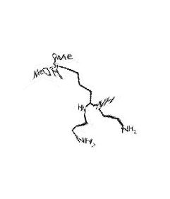 CO[SiH](CCCC(NCCN)NCCN)OC